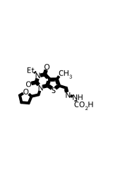 CCn1c(=O)c2c(C)c(C=NNC(=O)O)sc2n(CC2CCCO2)c1=O